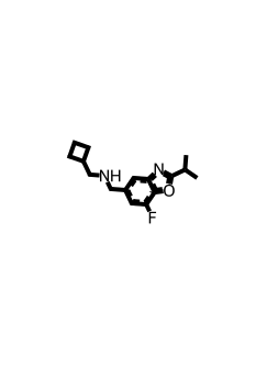 CC(C)c1nc2cc(CNCC3CCC3)cc(F)c2o1